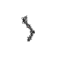 Cc1cc(Cl)c(-c2ccc(-c3sc(-c4cc5c(C)c6cc(-c7ccc(-c8ccc(-c9ccc(-c%10cc%11c(C)c%12sc(C)cc%12c(C)c%11s%10)s9)c9nsnc89)s7)sc6c(C)c5s4)cc3Cl)c3nsnc23)s1